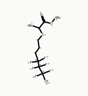 CCCCOC(=O)C(CCCC)SCCCC(F)(F)C(F)(F)C(F)(F)C(F)(F)F